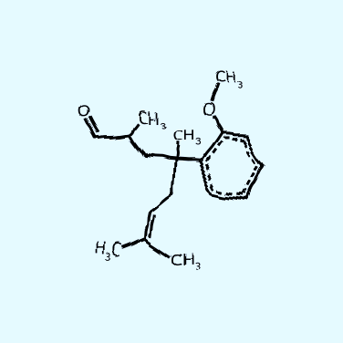 COc1ccccc1C(C)(CC=C(C)C)CC(C)C=O